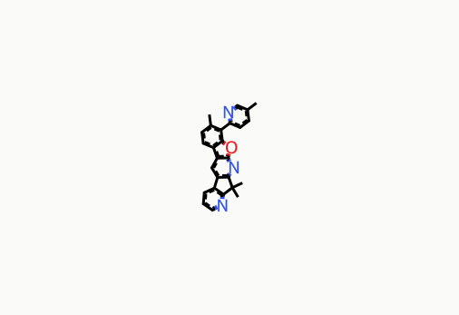 Cc1ccc(-c2c(C)ccc3c2oc2nc4c(cc23)-c2cccnc2C4(C)C)nc1